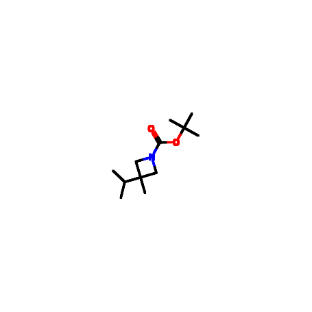 CC(C)C1(C)CN(C(=O)OC(C)(C)C)C1